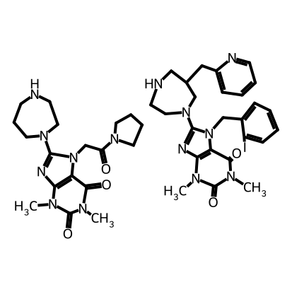 Cn1c(=O)c2c(nc(N3CCCNCC3)n2CC(=O)N2CCCC2)n(C)c1=O.Cn1c(=O)c2c(nc(N3CCNCC(Cc4ccccn4)C3)n2Cc2ccccc2I)n(C)c1=O